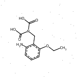 CCOc1cccc(N)c1CN(C(=O)O)C(=O)O